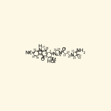 CCc1cc2c(cc1N1CCN(C(=O)CCCN3C[C@H](N)C(C)(C)C3)CC1)C(C)(C)c1[nH]c3cc(C#N)ccc3c1C2=O.Cl